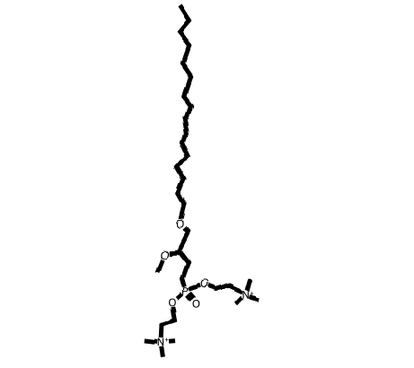 CCCCCCCCCCCCCCCCOCC(CCP(=O)(OCC[N+](C)(C)C)OCC[N+](C)(C)C)OC